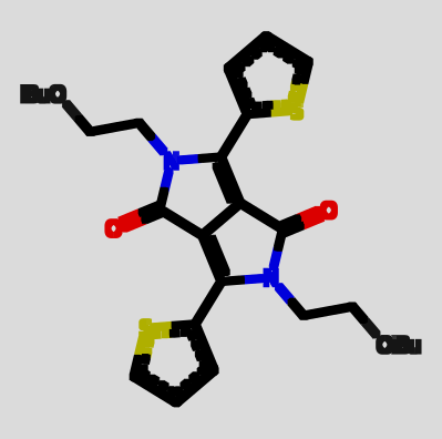 CC(C)COCCN1C(=O)C2=C(c3cccs3)N(CCOCC(C)C)C(=O)C2=C1c1cccs1